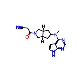 CN(c1ncnc2[nH]ccc12)C1C[C@@H]2CN(C(=O)CC#N)C[C@@H]2C1